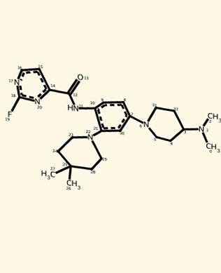 CN(C)C1CCN(c2ccc(NC(=O)c3ccnc(F)n3)c(N3CCC(C)(C)CC3)c2)CC1